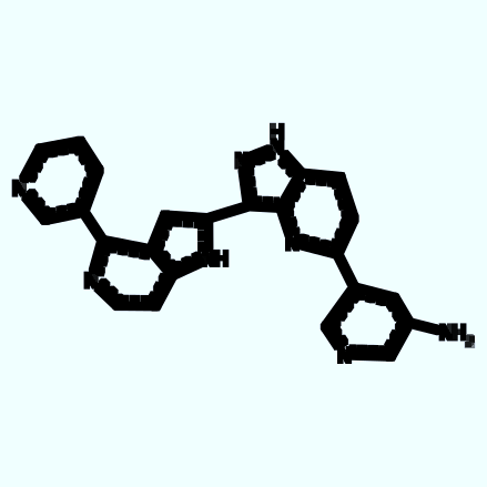 Nc1cncc(-c2ccc3[nH]nc(-c4cc5c(-c6cccnc6)nccc5[nH]4)c3n2)c1